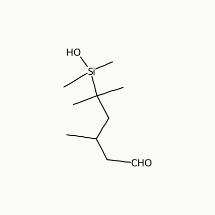 CC(CC=O)CC(C)(C)[Si](C)(C)O